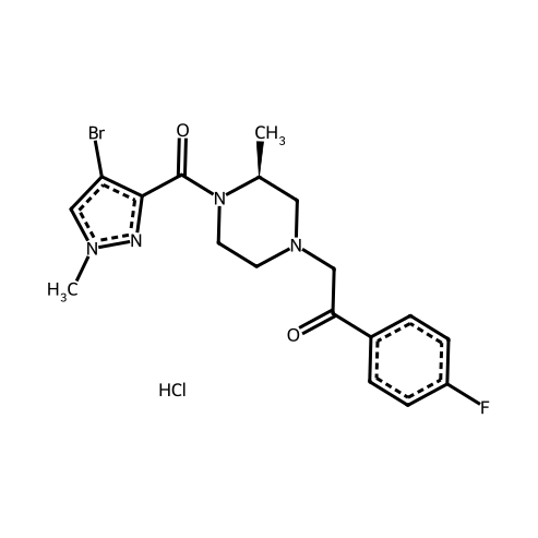 C[C@H]1CN(CC(=O)c2ccc(F)cc2)CCN1C(=O)c1nn(C)cc1Br.Cl